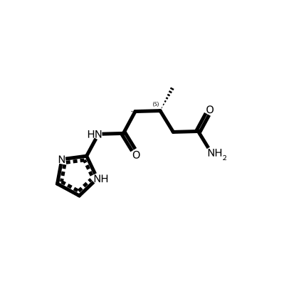 C[C@@H]([CH]C(=O)Nc1ncc[nH]1)CC(N)=O